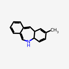 CC1=CC2C=c3ccccc3=CNC2C=C1